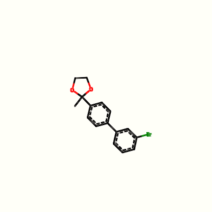 CC1(c2ccc(-c3cccc(Br)c3)cc2)OCCO1